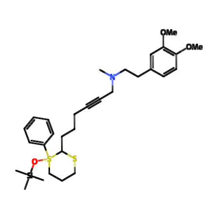 COc1ccc(CCN(C)CC#CCCCC2SCCCS2(O[Si](C)(C)C)c2ccccc2)cc1OC